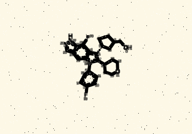 OCC1CC[C@@H](c2c(C3CCOCC3)n(-c3ccc(F)cc3)c3cc4cn[nH]c4c(F)c23)C1